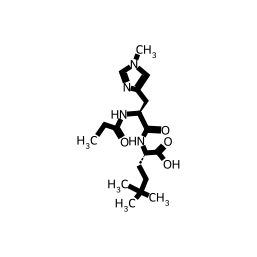 CCC(=O)N[C@@H](Cc1cn(C)cn1)C(=O)N[C@@H](CCC(C)(C)C)C(=O)O